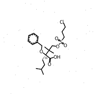 CC(C)CC[C@@](OCc1ccccc1)(C(=O)O)C(C)(C)COS(=O)(=O)CCCCl